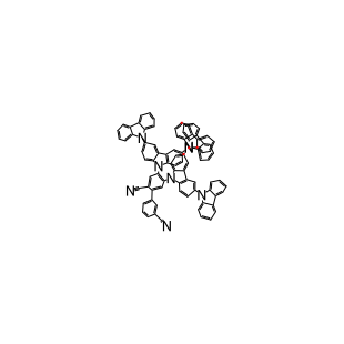 N#Cc1cccc(-c2cc(-n3c4ccc(-n5c6ccccc6c6ccccc65)cc4c4cc(-n5c6ccccc6c6ccccc65)ccc43)c(-n3c4ccc(-n5c6ccccc6c6ccccc65)cc4c4cc(-n5c6ccccc6c6ccccc65)ccc43)cc2C#N)c1